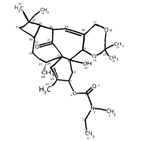 CCN(C)C(=O)OC1CC2(O)C3OC(C)(C)OCC3=CC3C(=O)C2(C=C1C)[C@H](C)CC1CC(C)(C)C13